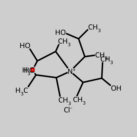 CC(O)C(C)[N+](C(C)C(C)O)(C(C)C(C)O)C(C)C(C)O.[Cl-]